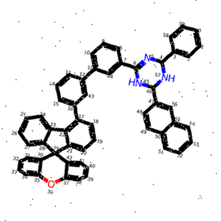 c1ccc(C2N=C(c3cccc(-c4cccc(-c5cccc6c5-c5ccccc5C65c6ccccc6Oc6ccccc65)c4)c3)NC(c3ccc4ccccc4c3)N2)cc1